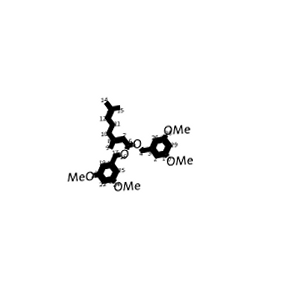 COc1cc(COC(/C=C(\C)CCC=C(C)C)OCc2cc(OC)cc(OC)c2)cc(OC)c1